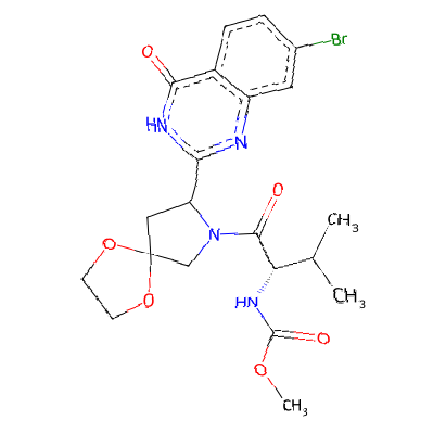 COC(=O)N[C@H](C(=O)N1CC2(CC1c1nc3cc(Br)ccc3c(=O)[nH]1)OCCO2)C(C)C